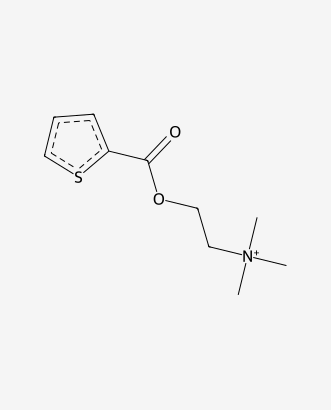 C[N+](C)(C)CCOC(=O)c1cccs1